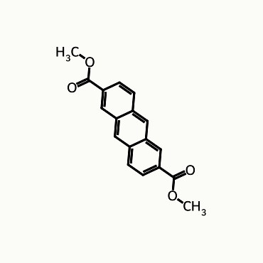 COC(=O)c1ccc2cc3cc(C(=O)OC)ccc3cc2c1